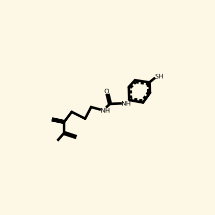 C=C(C)C(=C)CCCNC(=O)Nc1ccc(S)cc1